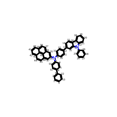 c1ccc(-c2ccc(N(c3ccc(-c4ccc5c6ccccc6n(-c6ccccc6)c5c4)cc3)c3cc4ccc5cccc6ccc(c3)c4c56)cc2)cc1